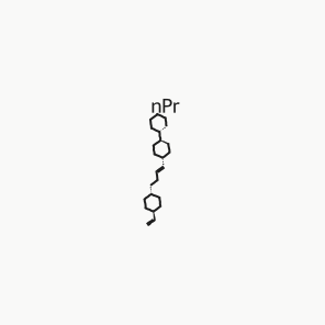 C=C[C@H]1CC[C@H](CCC=C[C@H]2CC[C@H]([C@H]3CC[C@H](CCC)CC3)CC2)CC1